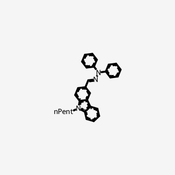 CCCCCn1c2ccccc2c2cc(C=NN(c3ccccc3)c3ccccc3)ccc21